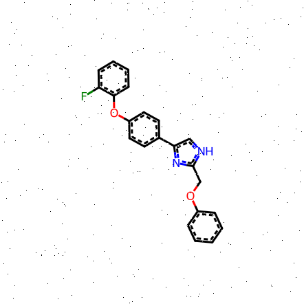 Fc1ccccc1Oc1ccc(-c2c[nH]c(COc3ccccc3)n2)cc1